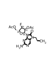 C=CCn1c(=O)n([C@@H]2O[C@H](COC(C)=O)[C@@H](F)[C@H]2OC(C)=O)c2nc(N)ncc21